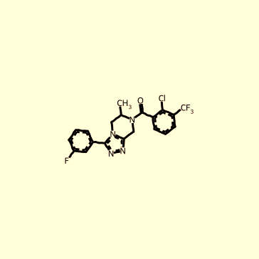 CC1Cn2c(nnc2-c2cccc(F)c2)CN1C(=O)c1cccc(C(F)(F)F)c1Cl